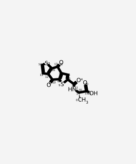 C[C@H](NC(=O)c1cc2c(s1)C(=O)c1ccsc1C2=O)C(=O)O